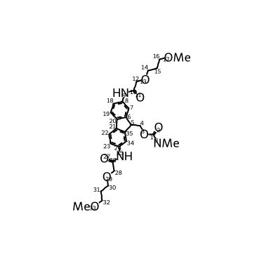 CNC(=O)OCC1c2cc(NC(=O)COCCCOC)ccc2-c2ccc(NC(=O)COCCCOC)cc21